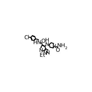 CCn1ncc2c(NC3CCN(C(N)=O)CC3)c(C(=O)NCc3ccc(Cl)cc3)cnc21